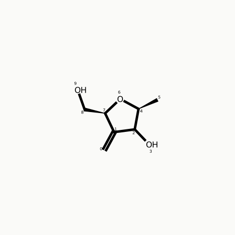 C=C1C(O)[C@H](C)O[C@@H]1CO